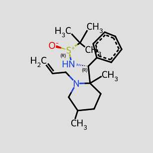 C=CCN1CC(C)CCC1(C)[C@H](N[S@@+]([O-])C(C)(C)C)c1ccccc1